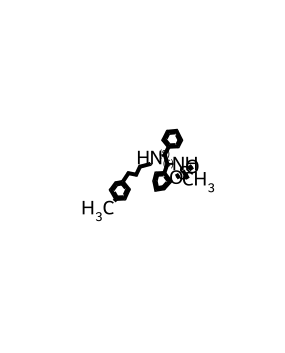 Cc1ccc(CCCCN[C@@H](c2ccccc2)[C@@H](NS(C)(=O)=O)c2ccccc2)cc1